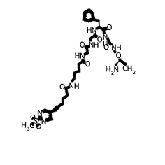 C=C[C@@H](CN)OCNC(=O)CNC(=O)[C@H](Cc1ccccc1)NC(=O)CNC(=O)CNC(=O)CCCCCNC(=O)CCCC#Cc1cnc(S(C)(=O)=O)nc1